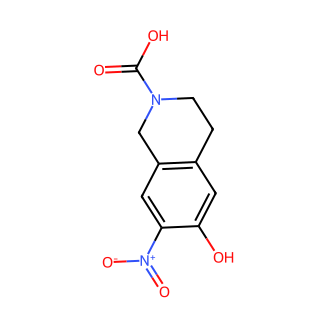 O=C(O)N1CCc2cc(O)c([N+](=O)[O-])cc2C1